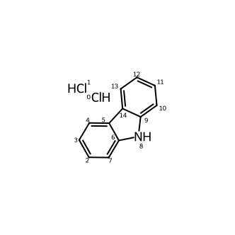 Cl.Cl.c1ccc2c(c1)[nH]c1ccccc12